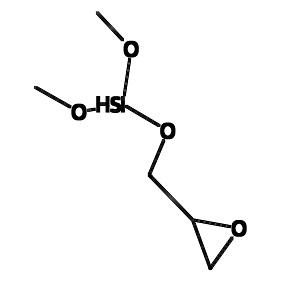 CO[SiH](OC)OCC1CO1